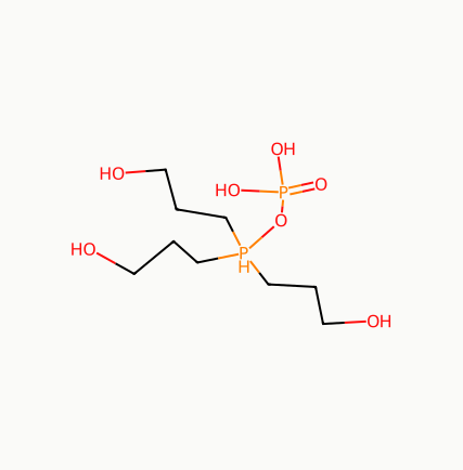 O=P(O)(O)O[PH](CCCO)(CCCO)CCCO